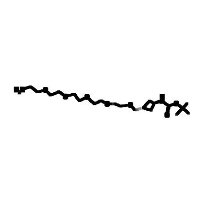 CC(C)(C)OC(=O)N[C@H]1C[C@H](COCCOCCOCCOCCOCCN)C1